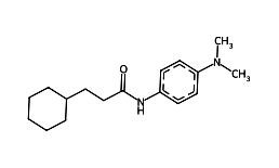 CN(C)c1ccc(NC(=O)CCC2CCCCC2)cc1